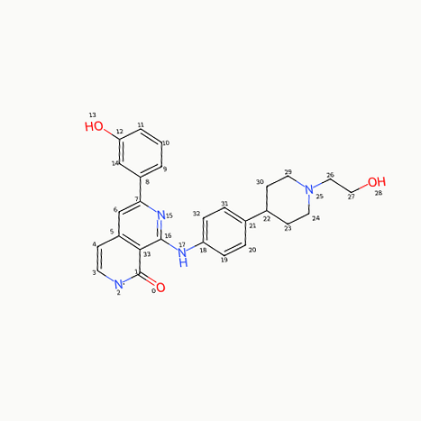 O=C1[N]C=Cc2cc(-c3cccc(O)c3)nc(Nc3ccc(C4CCN(CCO)CC4)cc3)c21